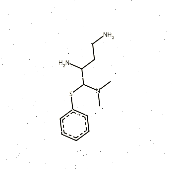 CN(C)C(Sc1ccccc1)C(N)CCN